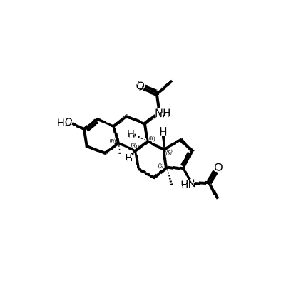 CC(=O)NC1=CC[C@H]2[C@@H]3C(NC(C)=O)CC4C=C(O)CC[C@]4(C)[C@@H]3CC[C@]12C